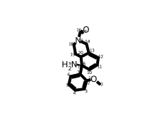 COc1ccccc1[C@@]1(N)C=CC=C2CN(C=O)CCC21